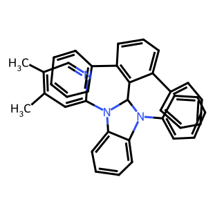 Cc1cnc(N2c3ccccc3N(c3ccccc3)C2c2c(-c3ccccc3)cccc2-c2ccccc2)cc1C